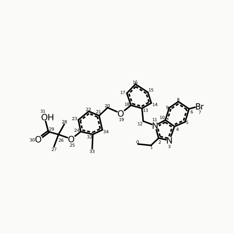 CCc1nc2cc(Br)ccc2n1Cc1ccccc1OCc1ccc(OC(C)(C)C(=O)O)c(C)c1